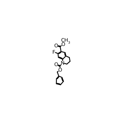 COC(=O)c1cc2c(cc1F)N(C(=O)OCc1ccccc1)CCC2